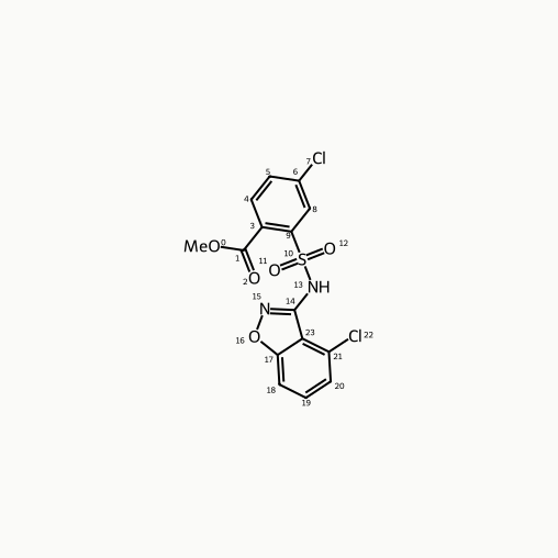 COC(=O)c1ccc(Cl)cc1S(=O)(=O)Nc1noc2cccc(Cl)c12